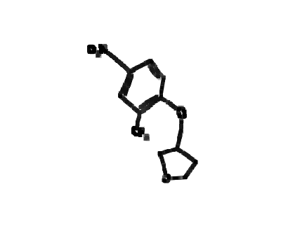 O=[N+]([O-])c1ccc(OC2CCOC2)c(C(F)(F)F)c1